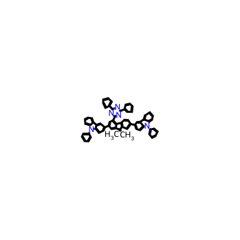 CC1(C)c2cc(-c3ccc4c(c3)c3ccccc3n4-c3ccccc3)ccc2-c2c(-c3nc(-c4ccccc4)nc(-c4ccccc4)n3)cc(-c3ccc4c(c3)c3ccccc3n4-c3ccccc3)cc21